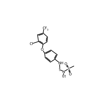 CCN(SNc1ccc(Oc2ccc(C(F)(F)F)cc2Cl)cc1)S(C)(=O)=O